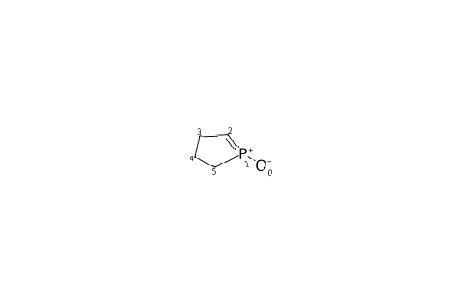 [O-][P+]1=CCCC1